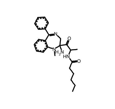 CCCCCC(=O)NC(C)C(=O)C1(N)CN=C(c2ccccc2)c2ccccc2N1C